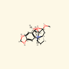 CO[C@]12C[C@]34CCCN3C[C@H](O1)c1cc3c(cc1[C@@H]4[C@@H]2O)OCO3